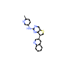 Cc1ccc(Nc2ncc3scc(-c4cnc5ccccc5c4)c3n2)cn1